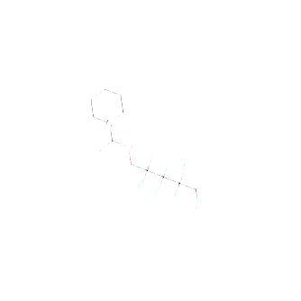 CC(OCC(F)(F)C(F)(F)C(F)(F)C(F)F)N1CCCCC1